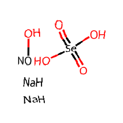 O=NO.O=[Se](=O)(O)O.[NaH].[NaH]